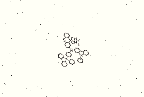 CC1(C)c2ccccc2Sc2ccc(N(c3ccc(C4(c5ccccc5)c5ccccc5-c5ccccc54)cc3)c3ccc4c5ccccc5n(-c5ccccc5)c4c3)cc21